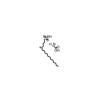 CCCCCCCCCCCCN(C)CCCCS(=O)(=O)O.NCC(=O)O